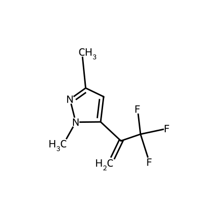 C=C(c1cc(C)nn1C)C(F)(F)F